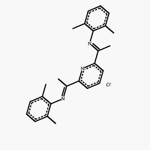 CC(=Nc1c(C)cccc1C)c1cccc(C(C)=Nc2c(C)cccc2C)n1.[Cr]